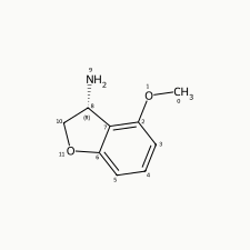 COc1cccc2c1[C@@H](N)CO2